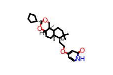 CC1(C)CCC2[C@]3(C)CO[C@@H](C4CCCC4)O[C@@H]3CC[C@@]2(C)[C@@H]1CCOc1cc[nH]c(=O)c1